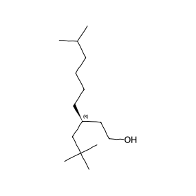 CC(C)CCCC[C@@H](CCO)CC(C)(C)C